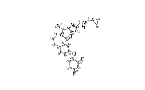 CC(C)C(c1nc(CNCC2CC2)cs1)N1CCCc2ccc(Oc3ccc(F)cc3F)cc2C1=O